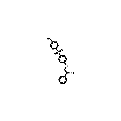 O=S(=O)(c1ccc(O)cc1)c1ccc(OCC(O)c2ccccc2)cc1